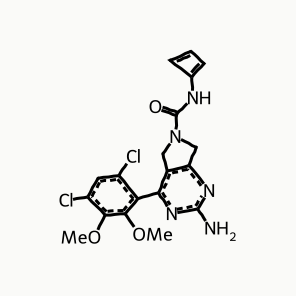 COc1c(Cl)cc(Cl)c(-c2nc(N)nc3c2CN(C(=O)NC2=CC=C2)C3)c1OC